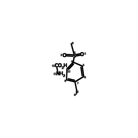 CS(=O)(=O)c1ccc(F)cc1.NC(=O)O